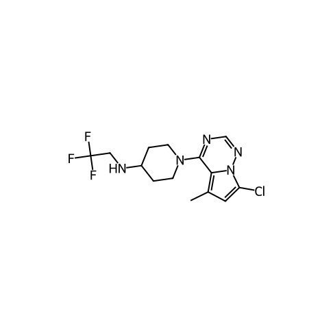 Cc1cc(Cl)n2ncnc(N3CCC(NCC(F)(F)F)CC3)c12